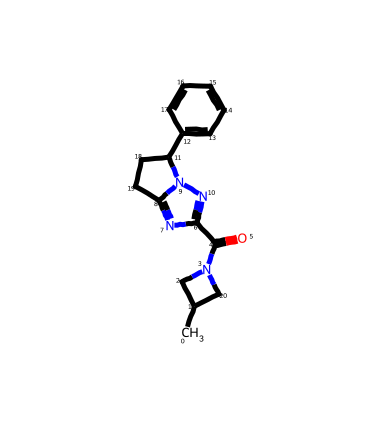 CC1CN(C(=O)c2nc3n(n2)C(c2ccccc2)CC3)C1